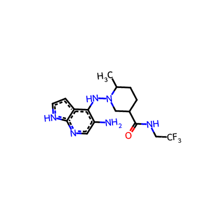 CC1CCC(C(=O)NCC(F)(F)F)CN1Nc1c(N)cnc2[nH]ccc12